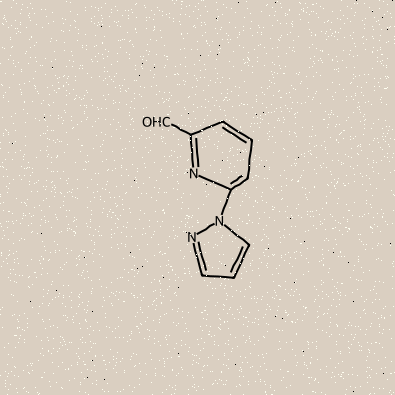 O=Cc1cccc(-n2cccn2)n1